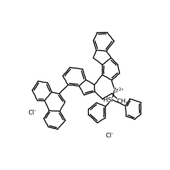 CCCC1=Cc2c(-c3cc4ccccc4c4ccccc34)cccc2C1c1[c]([Zr+2][SiH](c2ccccc2)c2ccccc2)ccc2c1Cc1ccccc1-2.[Cl-].[Cl-]